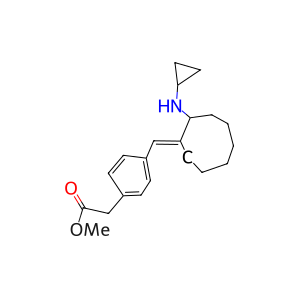 COC(=O)Cc1ccc(/C=C2\CCCCCCC2NC2CC2)cc1